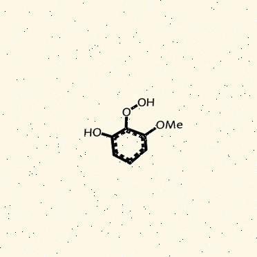 COc1cccc(O)c1OO